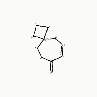 C=C1C=CCC2(CCC2)CC1